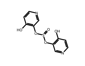 O=S(Oc1cnccc1O)Oc1cnccc1O